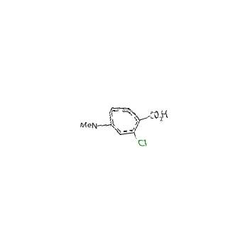 CNc1ccc(C(=O)O)c(Cl)c1